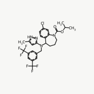 Cc1cc(N(Cc2cc(C(F)(F)F)cc(C(F)(F)F)c2)C2CCCN(C(=O)OC(C)C)c3cc(Cl)ccc32)n[nH]1